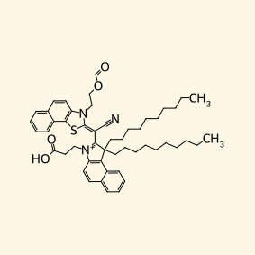 CCCCCCCCCCC1(CCCCCCCCCC)C(/C(C#N)=C2\Sc3c(ccc4ccccc34)N2CCOC=O)=[N+](CCC(=O)O)c2ccc3ccccc3c21